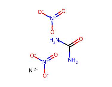 NC(N)=O.O=[N+]([O-])[O-].O=[N+]([O-])[O-].[Ni+2]